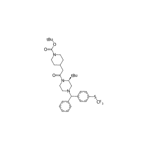 CC(C)(C)OC(=O)N1CCC(CC(=O)N2CCN(C(c3ccccc3)c3ccc(SC(F)(F)F)cc3)C[C@@H]2C(C)(C)C)CC1